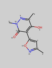 Cc1cc(-c2c(O)c(C)nn(C)c2=O)on1